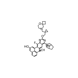 C#Cc1cccc2cc(O)cc(-c3c(F)cc4c(N5CC6CCC(C5)N6)nc(OCC5(CN6CCOC7(CCC7)C6)CC5)nc4c3F)c12